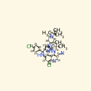 CC(C)(C)CNc1c(C#N)cnc2c(Cl)cc(NC(c3ccc(Cl)cc3)c3cn(C4CCN(C(C)(C)C)CC4)nn3)cc12